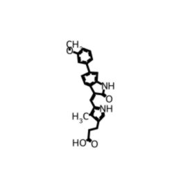 COc1cccc(-c2ccc3c(c2)NC(=O)C3=Cc2[nH]cc(CCC(=O)O)c2C)c1